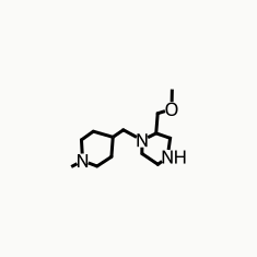 COCC1CNCCN1CC1CCN(C)CC1